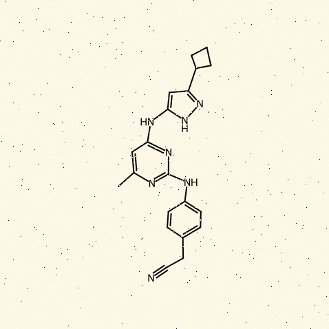 Cc1cc(Nc2cc(C3CCC3)n[nH]2)nc(Nc2ccc(CC#N)cc2)n1